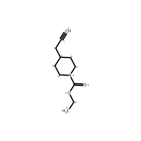 C#CCC1CCN(C(=O)OCC)CC1